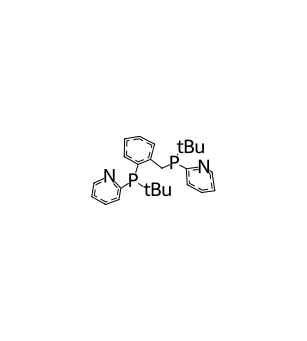 CC(C)(C)P(Cc1ccccc1P(c1ccccn1)C(C)(C)C)c1ccccn1